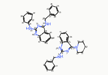 c1ccc(CNc2nc(N3CCCCC3)c3ccccc3n2)cc1.c1ccc(CNc2nc(Nc3ccccc3)nc3ccccc23)cc1